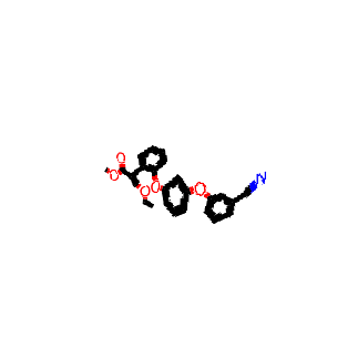 CCO/C=C(/C(=O)OC)c1ccccc1Oc1cccc(Oc2cccc(C#N)c2)c1